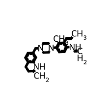 C=CNc1ccc(N2CCN(Cc3ccc4c(c3)NC(=C)CC4)CC2)c(C)c1/C=C/C